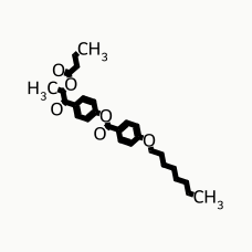 CCCCCCCCOc1ccc(C(=O)Oc2ccc(C(=O)C(C)OC(=O)CCC)cc2)cc1